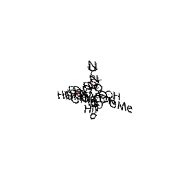 CON=C1C[C@@H](C)O[C@@H](O[C@@H]2[C@@H](C)[C@H](O[C@H]3C[C@H](C)N(CCc4ccncc4)C[C@H](C)O3)[C@@H](C)C(=O)OC([C@@H](C)CO[C@@H]3O[C@H](C)[C@@H](O)[C@@H](OC)[C@H]3OC)[C@H](C)[C@@H](OC(=O)CC(C)C)[C@@H](C)C(=O)[C@@](C)(OC(=O)NCc3ccccc3)C[C@@H]2C)[C@@H]1O